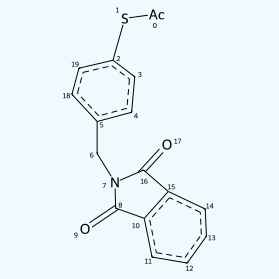 CC(=O)Sc1ccc(CN2C(=O)c3ccccc3C2=O)cc1